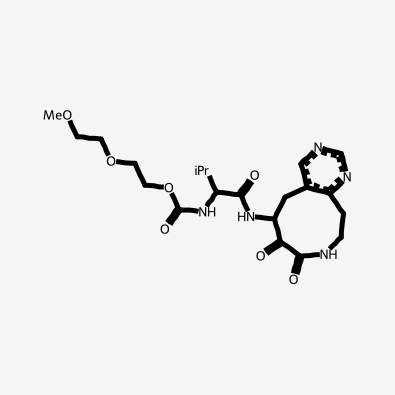 COCCOCCOC(=O)NC(C(=O)NC1Cc2cncnc2CCNC(=O)C1=O)C(C)C